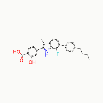 CCCCc1ccc(-c2ccc3c(C)c(-c4ccc(C(=O)O)c(O)c4)[nH]c3c2F)cc1